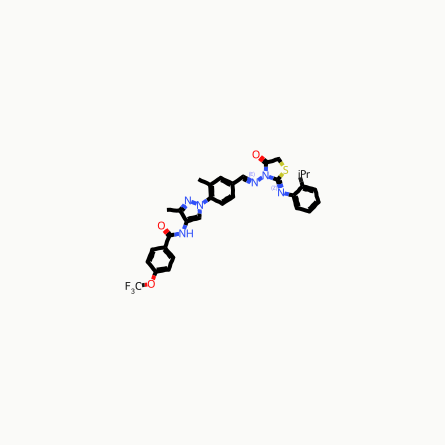 Cc1cc(/C=N/N2C(=O)CS/C2=N\c2ccccc2C(C)C)ccc1-n1cc(NC(=O)c2ccc(OC(F)(F)F)cc2)c(C)n1